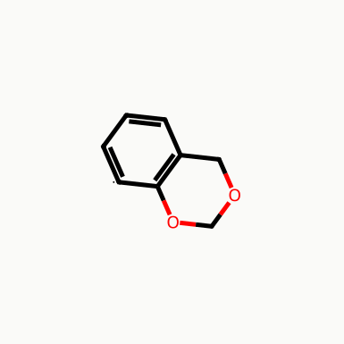 [c]1cccc2c1OCOC2